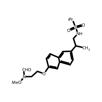 CON(C=O)CCOc1ccc2cc(C(C)CNS(=O)(=O)C(C)C)ccc2c1